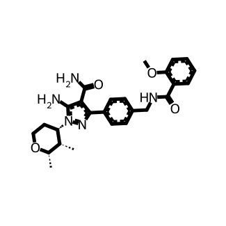 COc1ccccc1C(=O)NCc1ccc(-c2nn([C@H]3CCO[C@@H](C)[C@H]3C)c(N)c2C(N)=O)cc1